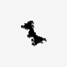 Cc1cc(C)c(B(c2ccc(-c3ccc4c(c3)C(C)(C)c3cccc5c3c-4cc3ccc(-c4ccc(B(c6c(C)cc(C)cc6C)c6c(C)cc(C)cc6C)cc4)cc35)cc2)c2c(C)cc(C)cc2C)c(C)c1